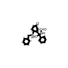 O=CNC(O)(c1ccccc1)c1cc(Cl)ccc1NCc1ccccc1